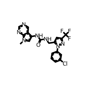 Cn1cc(NC(=O)NCc2cc(C(F)(F)F)nn2-c2cccc(Cl)c2)c2cncnc21